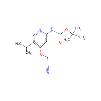 CC(C)c1cnc(NC(=O)OC(C)(C)C)cc1OCC#N